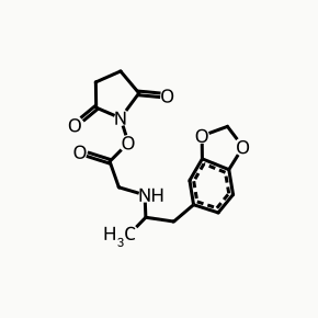 CC(Cc1ccc2c(c1)OCO2)NCC(=O)ON1C(=O)CCC1=O